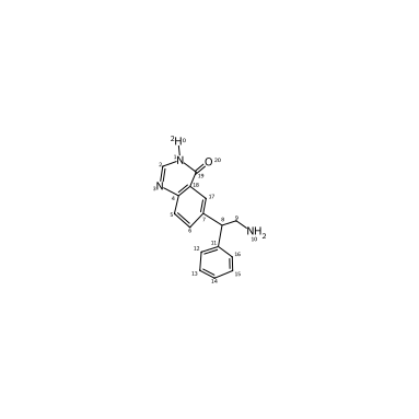 [2H]n1cnc2ccc(C(CN)c3ccccc3)cc2c1=O